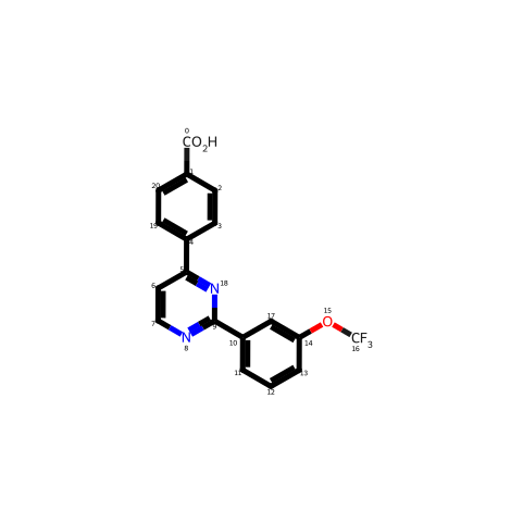 O=C(O)c1ccc(-c2ccnc(-c3cccc(OC(F)(F)F)c3)n2)cc1